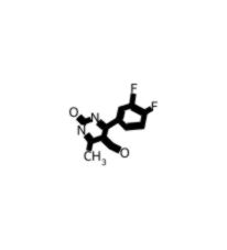 CC1=NC(=O)N=C(c2ccc(F)c(F)c2)C1=C=O